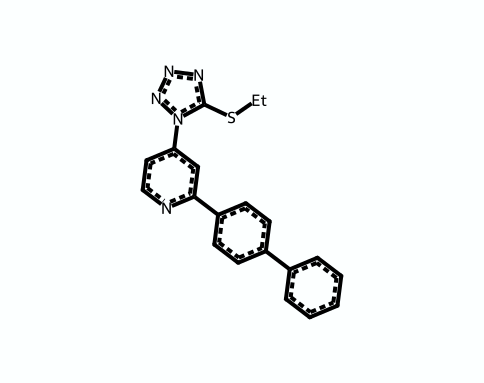 CCSc1nnnn1-c1ccnc(-c2ccc(-c3ccccc3)cc2)c1